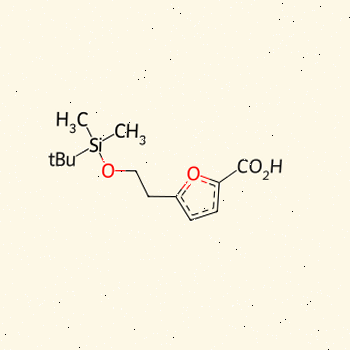 CC(C)(C)[Si](C)(C)OCCc1ccc(C(=O)O)o1